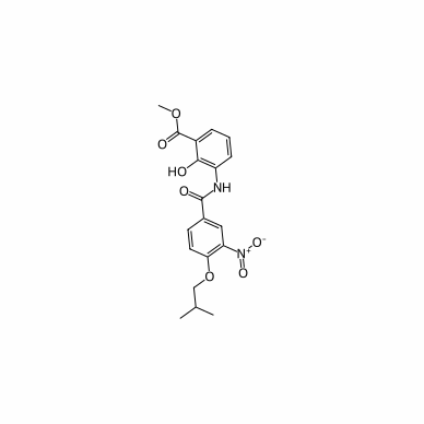 COC(=O)c1cccc(NC(=O)c2ccc(OCC(C)C)c([N+](=O)[O-])c2)c1O